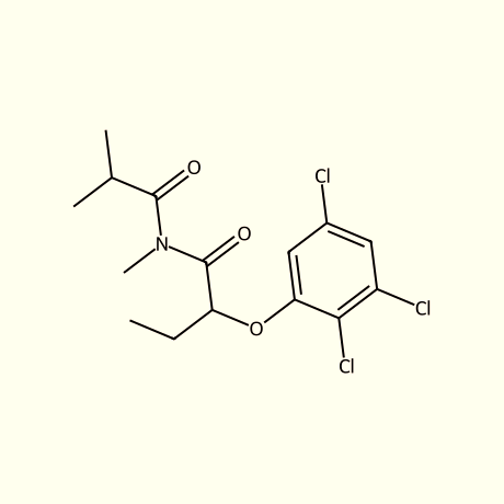 CCC(Oc1cc(Cl)cc(Cl)c1Cl)C(=O)N(C)C(=O)C(C)C